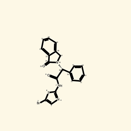 O=C(Nc1ncc(Br)s1)[C@@H](c1ccccc1)N1Cc2ccccc2C1=O